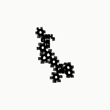 N=C(OC(N)c1ccccc1)c1cccc(C2=C3C=CC=CC3C(c3ccc(C4=CC(c5ccccc5)NC(c5cccc6ccccc56)=N4)cc3)C=C2)c1